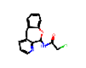 O=C(CCl)NC1Oc2ccccc2Cc2cccnc21